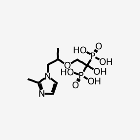 Cc1nccn1CC(C)OCC(O)(P(=O)(O)O)P(=O)(O)O